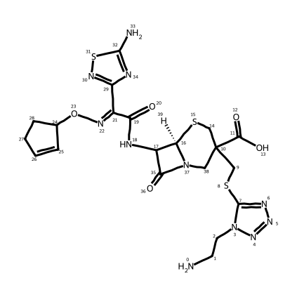 NCCn1nnnc1SCC1(C(=O)O)CS[C@@H]2C(NC(=O)C(=NOC3C=CCC3)c3nsc(N)n3)C(=O)N2C1